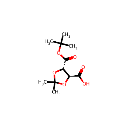 CC(C)(C)OC(=O)[C@H]1OC(C)(C)O[C@@H]1C(=O)O